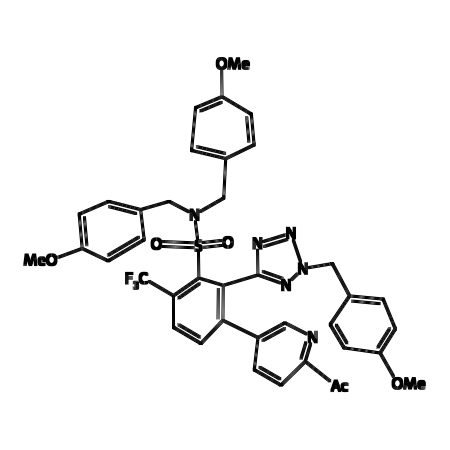 COc1ccc(CN(Cc2ccc(OC)cc2)S(=O)(=O)c2c(C(F)(F)F)ccc(-c3ccc(C(C)=O)nc3)c2-c2nnn(Cc3ccc(OC)cc3)n2)cc1